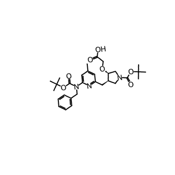 Cc1cc(C[C@@H]2CN(C(=O)OC(C)(C)C)C[C@@H]2OCC(=O)O)nc(N(Cc2ccccc2)C(=O)OC(C)(C)C)c1